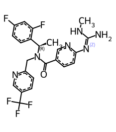 CN/C(N)=N\c1ccc(C(=O)N(Cc2ccc(C(F)(F)F)cn2)[C@H](C)c2ccc(F)cc2F)cn1